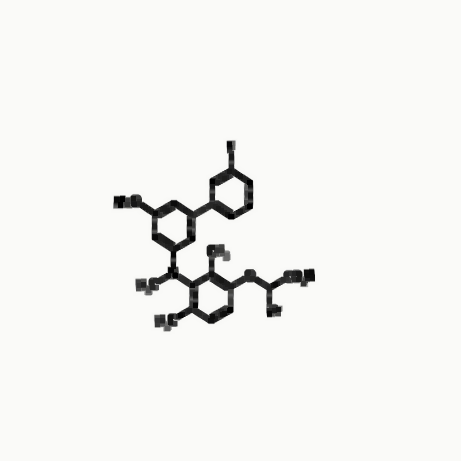 COc1cc(-c2cccc(F)c2)cc(N(C)c2c(C)ccc(OC(C(=O)O)C(C)C)c2C)c1